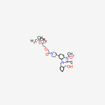 CC(=O)N1c2ccc(C3=CCN(C(=O)COCCC(=O)OC(C)(C)C)CC3)cc2N(Cc2ccccc2CO)C[C@@H]1C1CC1